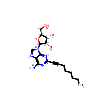 CCCCCCC#Cc1nc(N)c2ncn(C3O[C@@H](CO)[C@H](O)[C@@H]3O)c2n1